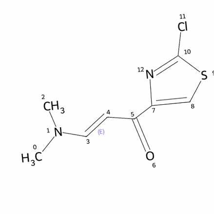 CN(C)/C=C/C(=O)c1csc(Cl)n1